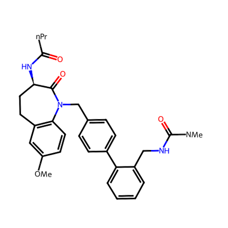 CCCC(=O)N[C@@H]1CCc2cc(OC)ccc2N(Cc2ccc(-c3ccccc3CNC(=O)NC)cc2)C1=O